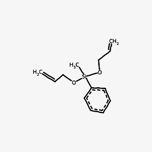 C=CCO[Si](C)(OCC=C)c1ccccc1